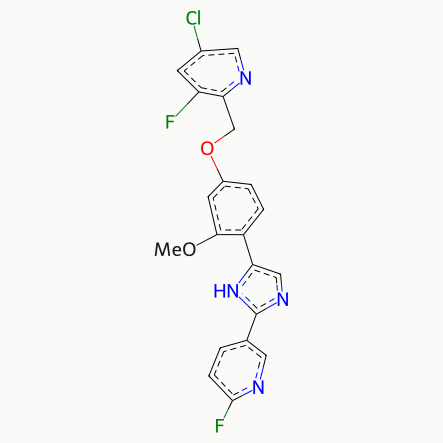 COc1cc(OCc2ncc(Cl)cc2F)ccc1-c1cnc(-c2ccc(F)nc2)[nH]1